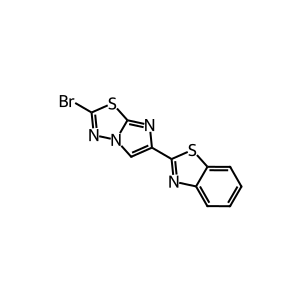 Brc1nn2cc(-c3nc4ccccc4s3)nc2s1